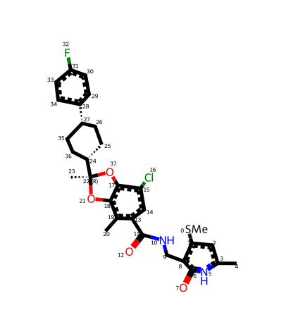 CSc1cc(C)[nH]c(=O)c1CNC(=O)c1cc(Cl)c2c(c1C)O[C@@](C)([C@H]1CC[C@@H](c3ccc(F)cc3)CC1)O2